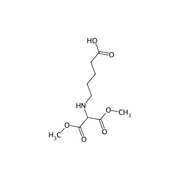 COC(=O)C(NCCCCC(=O)O)C(=O)OC